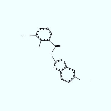 COc1nccc(C(=O)Nc2nc3ccc(C(=O)O)cc3s2)c1Cl